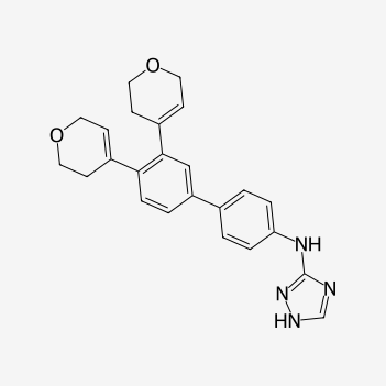 C1=C(c2ccc(-c3ccc(Nc4nc[nH]n4)cc3)cc2C2=CCOCC2)CCOC1